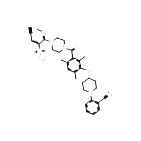 C#C/C=C(\C(=N/C)N1CCN(C(=O)c2c(C)cc(C)c(N[C@H]3CCN(c4ccccc4C#N)C[C@H]3C)c2C)CC1)S(N)(=O)=O